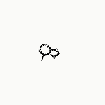 Cc1ncnc2ncnn12